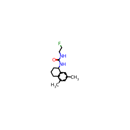 Cc1cc(C)c2c(c1)C(NC(=O)NCCF)CCC2